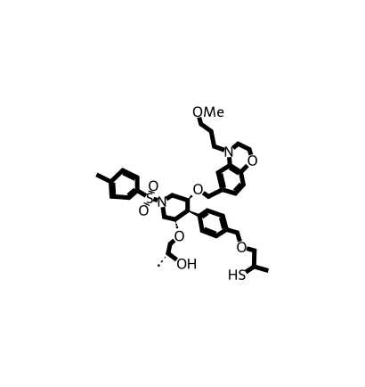 COCCCN1CCOc2ccc(CO[C@H]3CN(S(=O)(=O)c4ccc(C)cc4)C[C@@H](OC[C@@H](C)O)[C@@H]3c3ccc(COCC(C)S)cc3)cc21